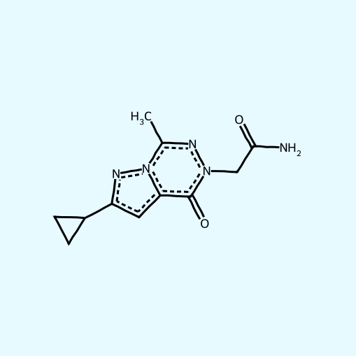 Cc1nn(CC(N)=O)c(=O)c2cc(C3CC3)nn12